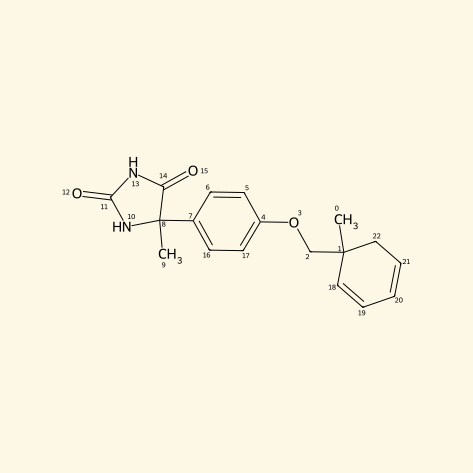 CC1(COc2ccc(C3(C)NC(=O)NC3=O)cc2)C=CC=CC1